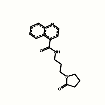 O=C(NCCCN1CCCC1=O)c1ccnc2ccccc12